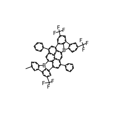 Cc1ccc2c(c1)-c1cc(C(F)(F)F)cc3c1B2c1cc2c(-c4ccccc4)cc4c5c(cc6c(-c7ccccc7)cc-3c1c6c25)B1c2ccc(C(F)(F)F)cc2-c2cc(C(F)(F)F)cc-4c21